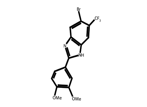 COc1ccc(-c2nc3cc(Br)c(C(F)(F)F)cc3[nH]2)cc1OC